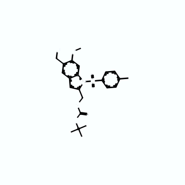 COc1cc2c(cc1CO)cc(CNC(=O)OC(C)(C)C)n2S(=O)(=O)c1ccc(C)cc1